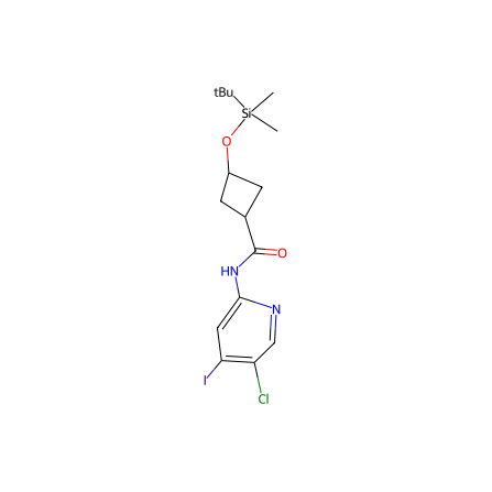 CC(C)(C)[Si](C)(C)OC1CC(C(=O)Nc2cc(I)c(Cl)cn2)C1